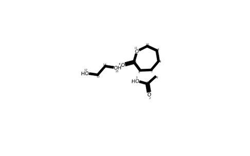 CC(=O)O.O=C1CCCCCO1.OCCO